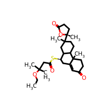 CCOC(C)(C)CC(=O)S[C@@H]1CC2=CC(=O)CCC2(C)C2CCC(C)([C@@]3(C)CCC(=O)O3)CC21